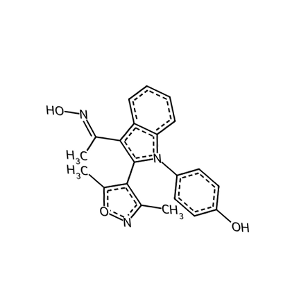 CC(=NO)c1c(-c2c(C)noc2C)n(-c2ccc(O)cc2)c2ccccc12